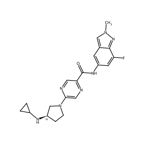 Cn1cc2cc(NC(=O)c3cnc(N4CC[C@@H](NC5CC5)C4)cn3)cc(F)c2n1